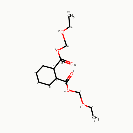 CCOCOC(=O)C1CCCCC1C(=O)OCOCC